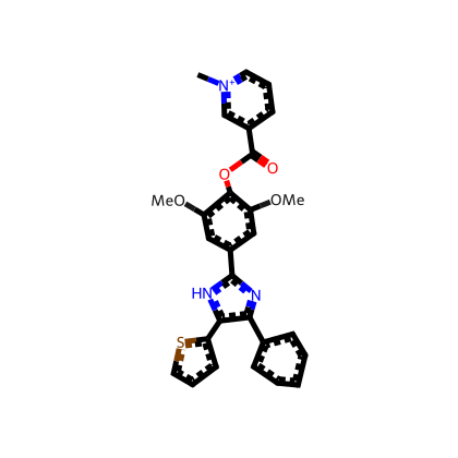 COc1cc(-c2nc(-c3ccccc3)c(-c3cccs3)[nH]2)cc(OC)c1OC(=O)c1ccc[n+](C)c1